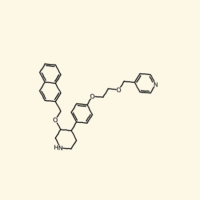 c1ccc2cc(COC3CNCCC3c3ccc(OCCOCc4ccncc4)cc3)ccc2c1